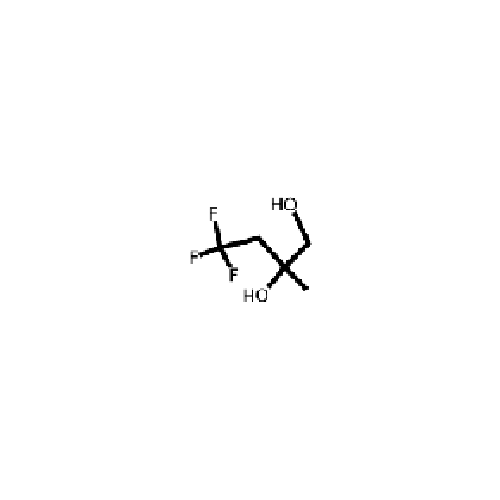 CC(O)(CO)CC(F)(F)F